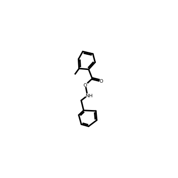 Cc1ccccc1C(=O)ONCc1ccccc1